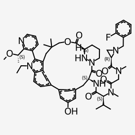 CCn1c(-c2cccnc2[C@H](C)OC)c2c3cc(ccc31)-c1cc(O)cc(c1)C[C@H](NC(=O)[C@H](C(C)C)N(C)C(=O)CN(C)C(=O)[C@H]1CN1Cc1ccccc1F)C(=O)N1CCC[C@H](N1)C(=O)OCC(C)(C)C2